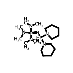 CN(C)P(=N[PH](N)(N1CCCCC1)N1CCCCC1)(N(C)C)N(C)C